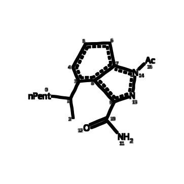 CCCCCC(C)c1cccc2c1c(C(N)=O)nn2C(C)=O